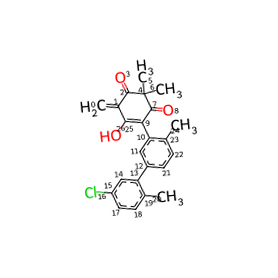 C=C1C(=O)C(C)(C)C(=O)C(c2cc(-c3cc(Cl)ccc3C)ccc2C)=C1O